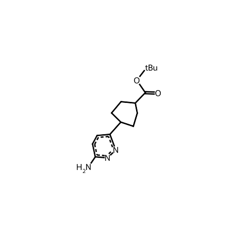 CC(C)(C)OC(=O)C1CCC(c2ccc(N)nn2)CC1